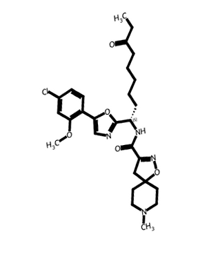 CCC(=O)CCCCC[C@H](NC(=O)C1=NOC2(CCN(C)CC2)C1)c1ncc(-c2ccc(Cl)cc2OC)o1